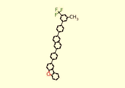 Cc1cc(-c2ccc(-c3ccc4cc(-c5ccc(-c6ccc7oc8ccccc8c7c6)cc5)ccc4c3)cc2)cc(C(F)(F)F)c1